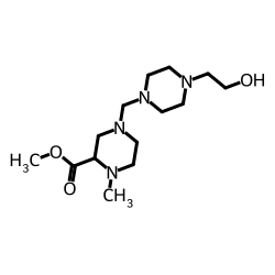 COC(=O)C1CN(CN2CCN(CCO)CC2)CCN1C